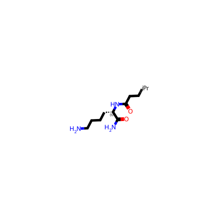 CC(C)CCC(=O)N[C@@H](CCCCN)C(N)=O